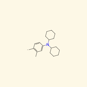 [CH2]c1ccc(N(C2CCCCC2)C2CCCCC2)cc1C